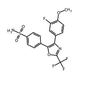 COc1ccc(-c2nc(C(F)(F)F)oc2-c2ccc(S(N)(=O)=O)cc2)cc1F